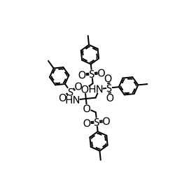 Cc1ccc(S(=O)(=O)COC(CNS(=O)(=O)c2ccc(C)cc2)(NS(=O)(=O)c2ccc(C)cc2)OCS(=O)(=O)c2ccc(C)cc2)cc1